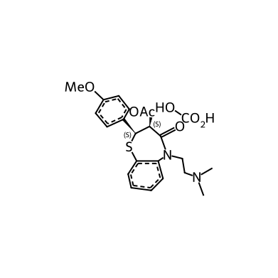 COc1ccc([C@@H]2Sc3ccccc3N(CCN(C)C)C(=O)[C@@H]2OC(C)=O)cc1.O=C(O)O